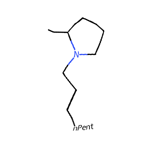 CCCCCCCCN1CCCC1C